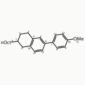 CCCCCCCCC1CCc2cc(-c3ccc(OC)cc3)ccc2C1